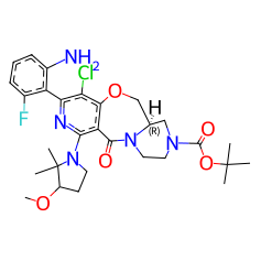 COC1CCN(c2nc(-c3c(N)cccc3F)c(Cl)c3c2C(=O)N2CCN(C(=O)OC(C)(C)C)C[C@@H]2CO3)C1(C)C